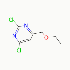 CCOCc1cc(Cl)nc(Cl)n1